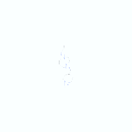 CCCN1CCCN(CC2CCN(C)CC2)CC1